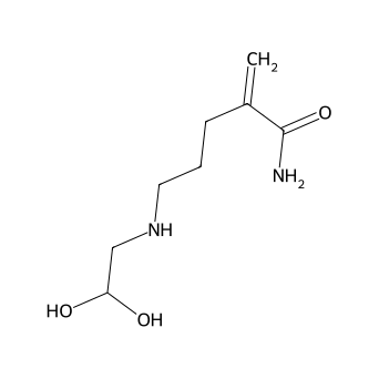 C=C(CCCNCC(O)O)C(N)=O